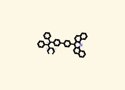 C\C=C/C(=C\C)C(=C(/c1ccccc1)c1ccc(-c2ccc(-c3c4ccc5ccccc5c4nc4c3ccc3ccccc34)cc2)cc1)/c1ccccc1